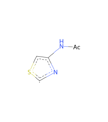 CC(=O)Nc1cs[c]n1